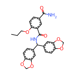 CCCOc1ccc(C(N)=O)cc1C(=O)NC(c1ccc2c(c1)OCO2)c1ccc2c(c1)OCO2